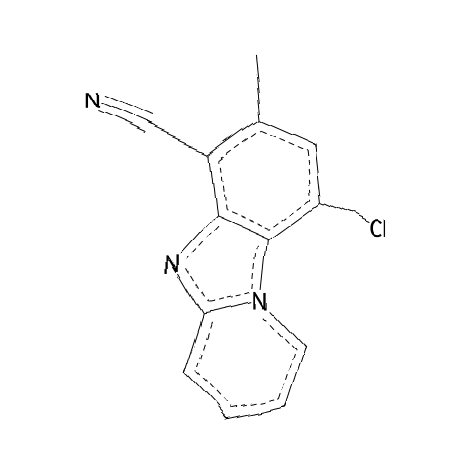 Cc1cc(Cl)c2c(nc3ccccn32)c1C#N